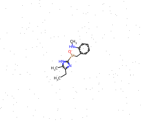 CCc1nc([S+]([O-])Cc2ccccc2NC)[nH]c1C